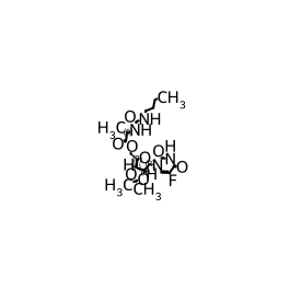 CCCCNC(=O)N[C@@H](C)C(=O)OC[C@H]1O[C@@H](n2cc(F)c(=O)[nH]c2=O)[C@@H]2OC(C)(C)O[C@@H]21